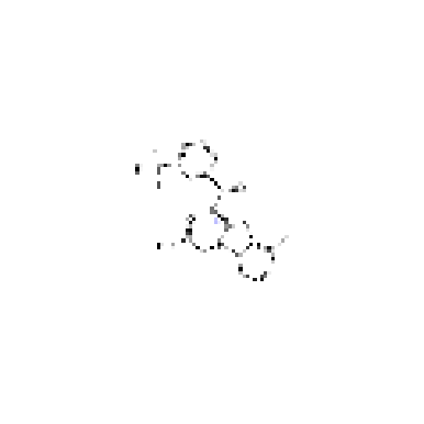 Cc1cccc2c1s/c(=N\C(=O)c1cccc(C(F)(F)F)c1)n2CC(=O)O